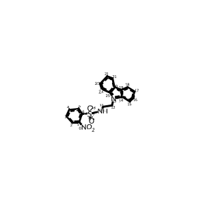 O=[N+]([O-])c1ccccc1S(=O)(=O)NCCn1c2ccccc2c2ccccc21